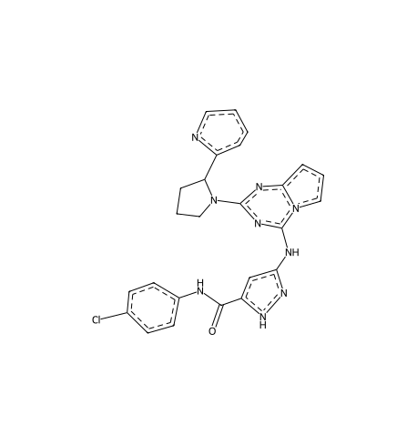 O=C(Nc1ccc(Cl)cc1)c1cc(Nc2nc(N3CCCC3c3ccccn3)nc3cccn23)n[nH]1